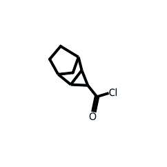 O=C(Cl)C1C2C3CCC(C3)C12